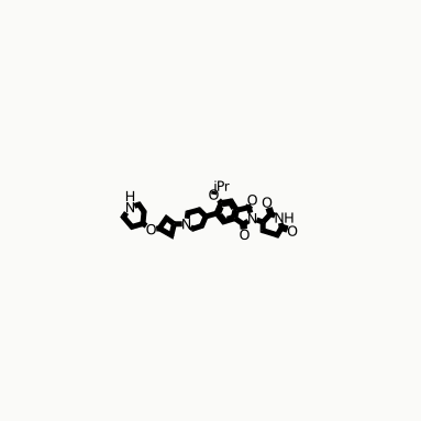 CC(C)Oc1cc2c(cc1C1CCN(C3CC(OC4CCNCC4)C3)CC1)C(=O)N(C1CCC(=O)NC1=O)C2=O